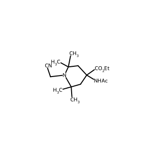 CCOC(=O)C1(NC(C)=O)CC(C)(C)N(CC#N)C(C)(C)C1